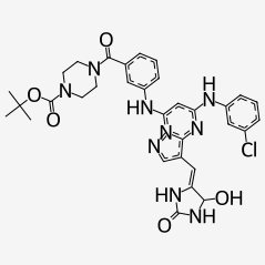 CC(C)(C)OC(=O)N1CCN(C(=O)c2cccc(Nc3cc(Nc4cccc(Cl)c4)nc4c(/C=C5\NC(=O)NC5O)cnn34)c2)CC1